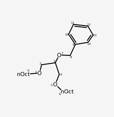 CCCCCCCCOCC(COCCCCCCCC)OCc1ccccc1